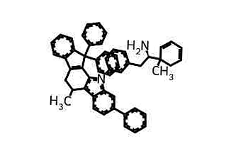 CC1CC2=C(c3c1c1ccc(-c4ccccc4)cc1n3-c1cccc(C[C@@H](N)C3(C)C=CC=CC3)c1)C(c1ccccc1)(c1ccccc1)c1ccccc12